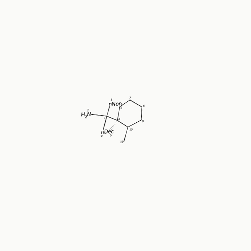 CCCCCCCCCCC(N)(CCCCCCCCC)[C@@]1(C)CCCCC1C